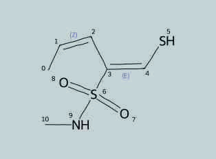 C/C=C\C(=C/S)S(=O)(=O)NC